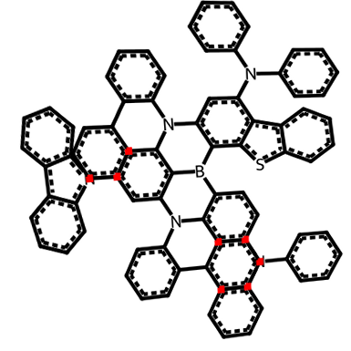 c1ccc(-c2ccccc2N2c3cc(N(c4ccccc4)c4ccccc4)ccc3B3c4c2cc(-n2c5ccccc5c5ccccc52)cc4N(c2ccccc2-c2ccccc2)c2cc(N(c4ccccc4)c4ccccc4)c4c(sc5ccccc54)c23)cc1